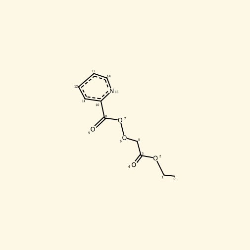 CCOC(=O)COOC(=O)c1ccccn1